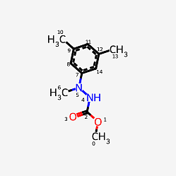 COC(=O)NN(C)c1cc(C)cc(C)c1